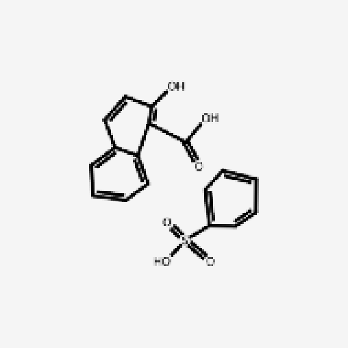 O=C(O)c1c(O)ccc2ccccc12.O=S(=O)(O)c1ccccc1